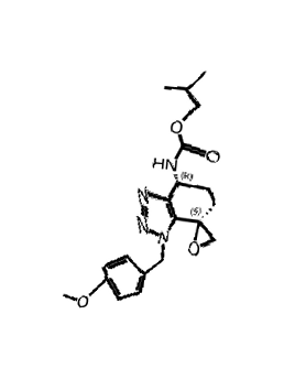 COc1ccc(Cn2nnc3c2[C@@]2(CC[C@H]3NC(=O)OCC(C)C)CO2)cc1